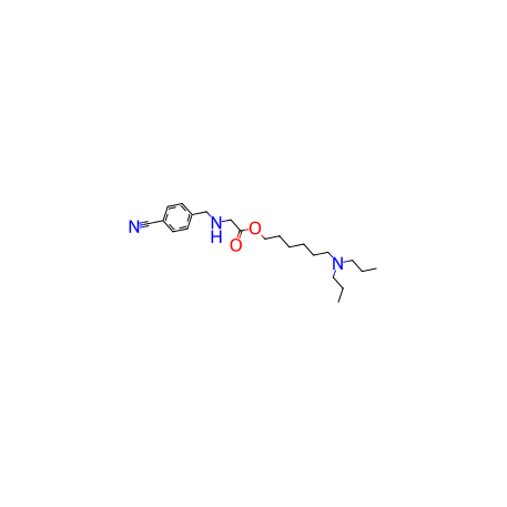 CCCN(CCC)CCCCCCOC(=O)CNCc1ccc(C#N)cc1